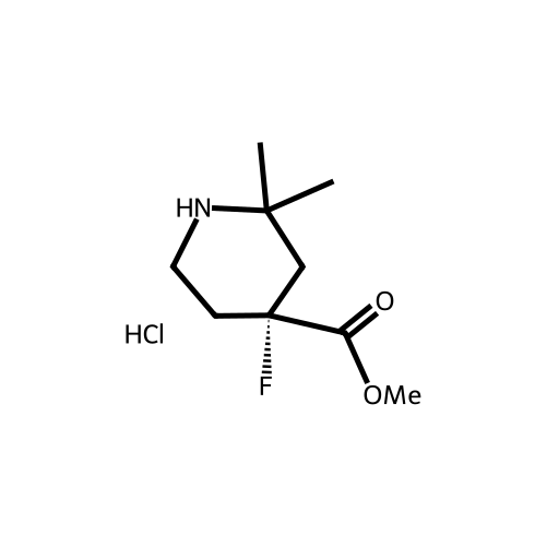 COC(=O)[C@@]1(F)CCNC(C)(C)C1.Cl